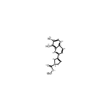 CC(C)(C)OC(=O)N1CC=C(c2ccc3ncc(C#N)c(O)c3n2)C1